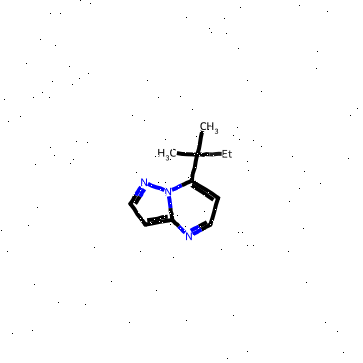 CCC(C)(C)c1ccnc2ccnn12